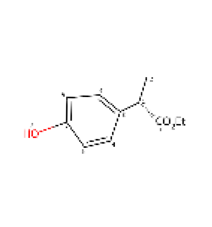 CCOC(=O)[C@@H](C)c1ccc(O)cc1